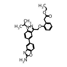 CCOC(=O)Cc1ccccc1OCc1nn(C(C)C)c2ccc(-c3ccc4oc(N)nc4c3)cc12